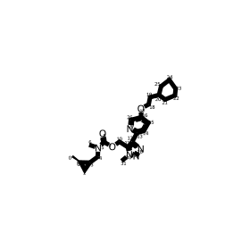 C[C@@H]1CC1CN(C)C(=O)OCc1c(-c2ccc(OCCC3CCCCC3)cn2)nnn1C